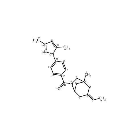 C/C=C1/CC2CC(C)(C1)CN2C(=O)c1ccc(-n2nc(C)cc2C)cc1